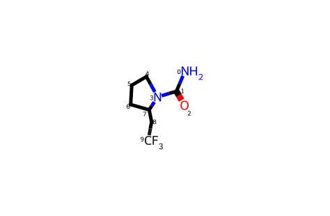 NC(=O)N1CCCC1CC(F)(F)F